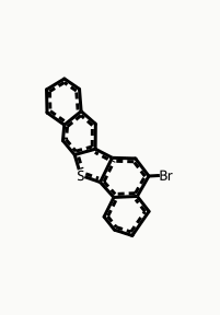 Brc1cc2c3cc4ccccc4cc3sc2c2ccccc12